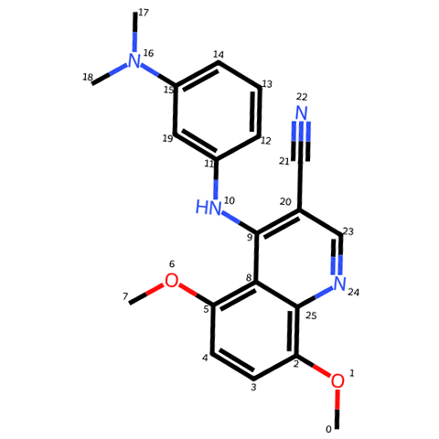 COc1ccc(OC)c2c(Nc3cccc(N(C)C)c3)c(C#N)cnc12